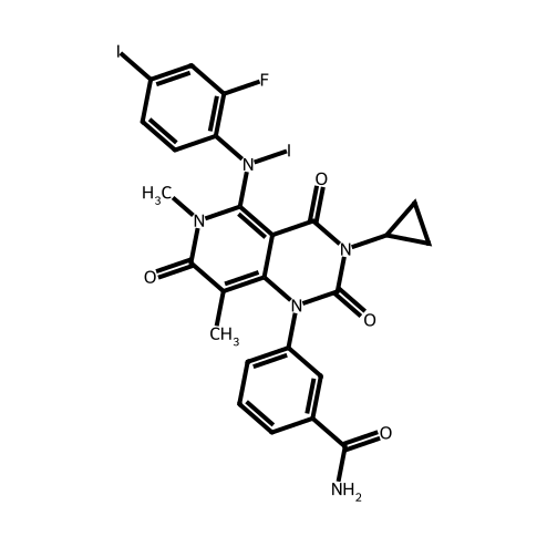 Cc1c(=O)n(C)c(N(I)c2ccc(I)cc2F)c2c(=O)n(C3CC3)c(=O)n(-c3cccc(C(N)=O)c3)c12